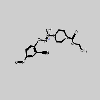 CCOC(=O)N1CCN(/[N+](O)=N/Oc2ccc(N=O)cc2C#N)CC1